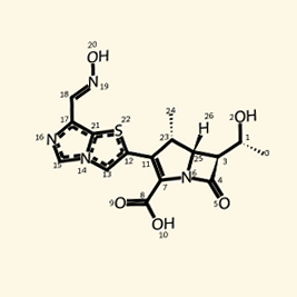 C[C@@H](O)[C@H]1C(=O)N2C(C(=O)O)=C(c3cn4cnc(C=NO)c4s3)[C@H](C)[C@H]12